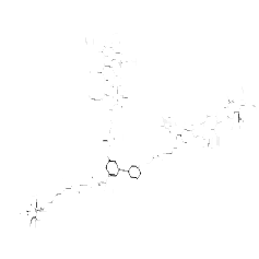 CC(=O)NC1C(OCCCNC(=O)COc2cc(C(=O)NCCNC(=O)CCCC[C@@H]3SC[C@@H]4NC(=O)N[C@@H]43)cc(-c3cccc(OCC(=O)NCCCOC4OC(CO)C(OC5OC(CO)C(O)C(OC(OC(CO)[C@@H](C)O)[C@@H](O)CO)C5O)C(O)C4NC(C)=O)c3)c2)OC(CO)C(OC2OC(CO)C(O)C(OC3OC(CO)C(O)C(O)C3O)C2O)C1O